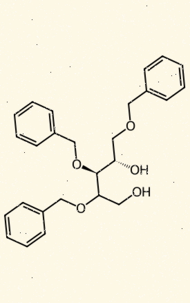 OCC(OCc1ccccc1)[C@@H](OCc1ccccc1)[C@@H](O)COCc1ccccc1